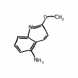 COc1ccc2c(N)cccc2n1